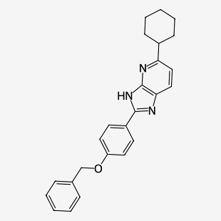 c1ccc(COc2ccc(-c3nc4ccc(C5CCCCC5)nc4[nH]3)cc2)cc1